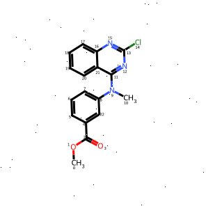 COC(=O)c1cccc(N(C)c2nc(Cl)nc3ccccc23)c1